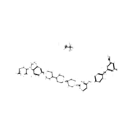 Cn1c(=O)n(C2CCC(=O)NC2=O)c2ccc(N3CCC(C4CCN(C5CCN(c6nccc(COc7ccc(C(C)(C)c8cc(Cl)cc(C#N)c8)cc7)n6)CC5)CC4)CC3)cc21.O=C(O)C(F)(F)F